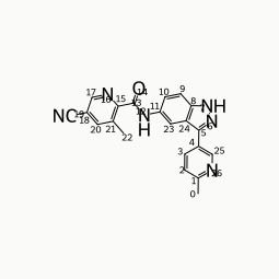 Cc1ccc(-c2n[nH]c3ccc(NC(=O)c4ncc(C#N)cc4C)cc23)cn1